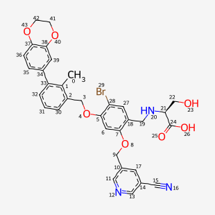 Cc1c(COc2cc(OCc3cncc(C#N)c3)c(CN[C@@H](CO)C(=O)O)cc2Br)cccc1-c1ccc2c(c1)OCCO2